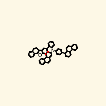 c1ccc(N(c2ccc(-c3cccc4c3ccc3ccccc34)cc2)c2ccc3c(ccc4ccccc43)c2)c(-c2ccc3oc4c5ccccc5ccc4c3c2)c1